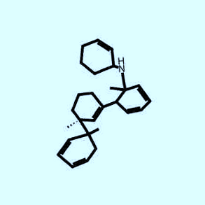 CC1(NC2C=CCCC2)C=CC=CC1C1=C[C@@](C)(C2(C)C=CC=CC2)CCC1